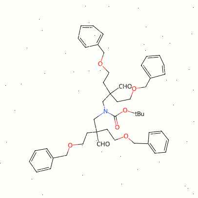 CC(C)(C)OC(=O)N(CC(C=O)(CCOCc1ccccc1)CCOCc1ccccc1)CC(C=O)(CCOCc1ccccc1)CCOCc1ccccc1